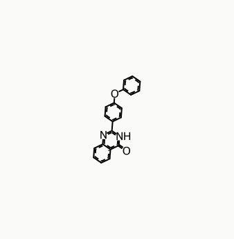 O=c1[nH]c(-c2ccc(Oc3ccccc3)cc2)nc2ccccc12